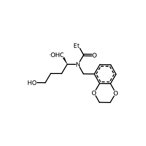 CCC(=O)N(Cc1cccc2c1OCCO2)[C@H]([C]=O)CCCO